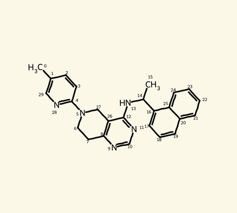 Cc1ccc(N2CCc3ncnc(NC(C)c4cccc5ccccc45)c3C2)nc1